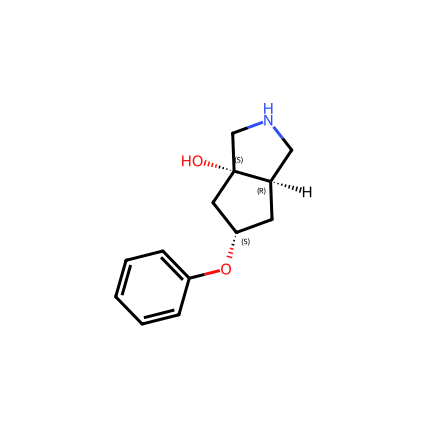 O[C@]12CNC[C@H]1C[C@H](Oc1ccccc1)C2